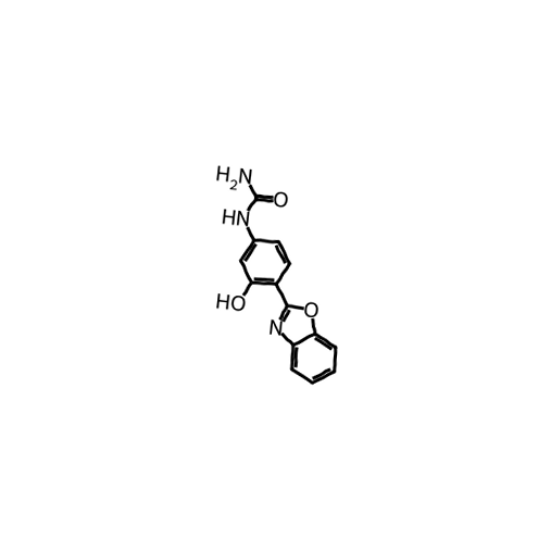 NC(=O)Nc1ccc(-c2nc3ccccc3o2)c(O)c1